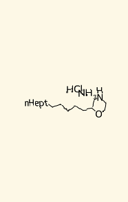 CCCCCCCCCCCCC1CNCCO1.Cl.N